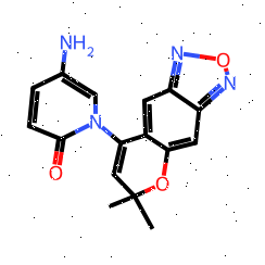 CC1(C)C=C(n2cc(N)ccc2=O)c2cc3nonc3cc2O1